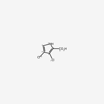 O=C(O)c1[nH]cc(Cl)c1Cl